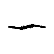 CCCCCCCC/C=C/CCCCCCCCOC(=O)C(C)CC(C)C(=O)Oc1ccc(C(C)(C)c2ccc(OC(=O)C(C)CC(C)C(=O)OCCCCCCCC/C=C/CCCCCCCC)cc2)cc1